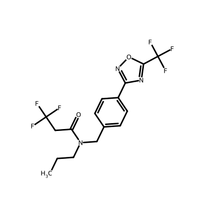 CCCN(Cc1ccc(-c2noc(C(F)(F)F)n2)cc1)C(=O)CC(F)(F)F